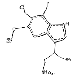 CC(=O)NCC(c1c[nH]c2c(F)c(Cl)c(OC(C)(C)C)cc12)C(C)C